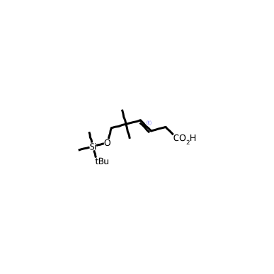 CC(C)(/C=C/CC(=O)O)CO[Si](C)(C)C(C)(C)C